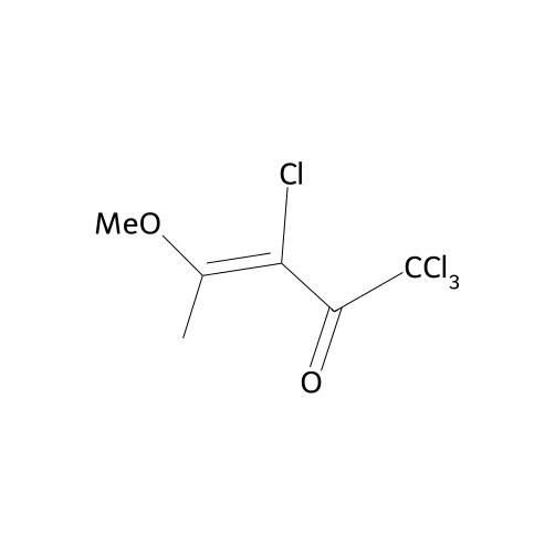 COC(C)=C(Cl)C(=O)C(Cl)(Cl)Cl